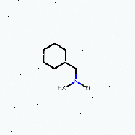 C[CH]N(C)CC1CCCCC1